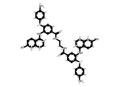 CC(C)c1ccc2c(Nc3cc(C(=O)NCCNC(=O)c4ccc(Sc5ccc(N)cc5)c(Nc5ncnc6nc(C(C)C)ccc56)c4)ccc3Sc3ccc(N)cc3)ncnc2n1